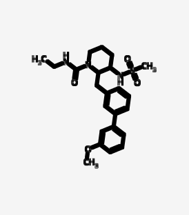 CCNC(=O)N1CCCC(NS(C)(=O)=O)C1Cc1cccc(-c2cccc(OC)c2)c1